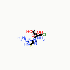 C[C@H](O)[C@H]1O[C@@H](n2cnc3c(=S)[nH]c(N=NN)nc32)[C@@](N)(C#CCl)C1O